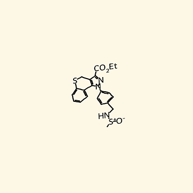 CCOC(=O)c1nn(-c2ccc(CN[S+](C)[O-])cc2)c2c1CSc1ccccc1-2